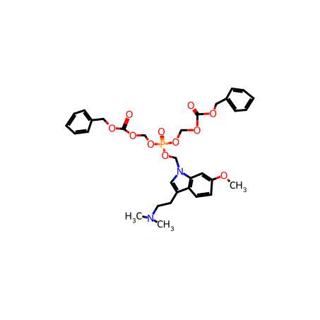 COc1ccc2c(CCN(C)C)cn(COP(=O)(OCOC(=O)OCc3ccccc3)OCOC(=O)OCc3ccccc3)c2c1